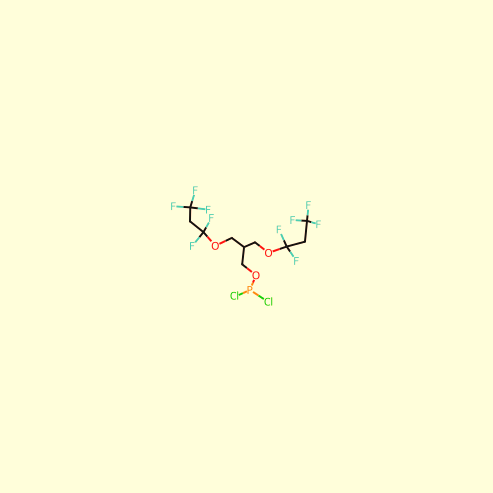 FC(F)(F)CC(F)(F)OCC(COP(Cl)Cl)COC(F)(F)CC(F)(F)F